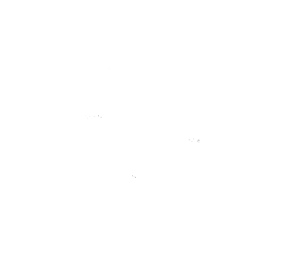 CNC(=O)C(Cc1ccsc1)Cc1c[nH]c2cccc(OC)c12